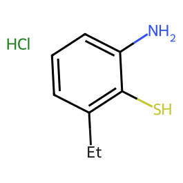 CCc1cccc(N)c1S.Cl